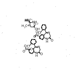 CN(CC(=O)O)C(=N)N.O=C1CN=C(c2ccccc2Cl)c2cc([N+](=O)[O-])ccc2N1.O=C1CN=C(c2ccccc2Cl)c2cc([N+](=O)[O-])ccc2N1.[Mg+2]